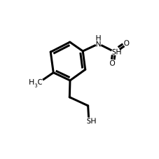 Cc1ccc(N[SH](=O)=O)cc1CCS